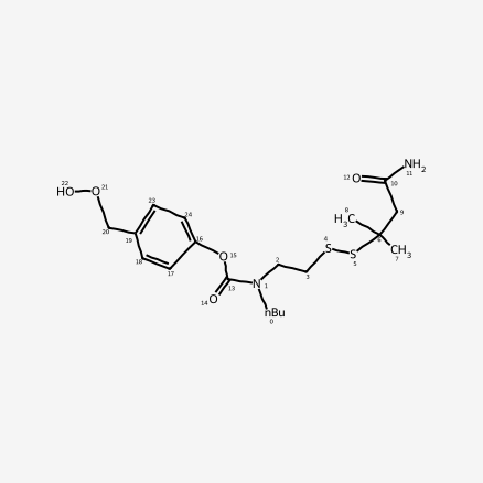 CCCCN(CCSSC(C)(C)CC(N)=O)C(=O)Oc1ccc(COO)cc1